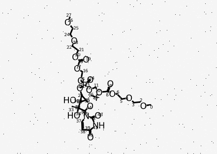 COCCOCCOC(=O)OCOP(=O)(OCOC(=O)OCCOCCOC)OC1[C@]2(O)[C@@](C)(O)[C@H](n3ccc(=O)[nH]c3=O)O[C@]12CF